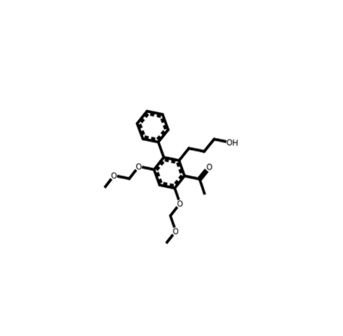 COCOc1cc(OCOC)c(-c2ccccc2)c(CCCO)c1C(C)=O